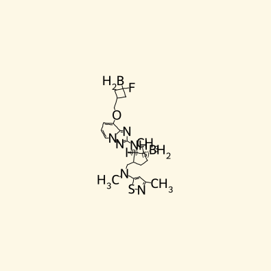 BC1(F)CC(COc2cccn3nc(N[C@@]4(I)C(CN(C)c5cc(C)ns5)CC[C@]4(B)C)nc23)C1